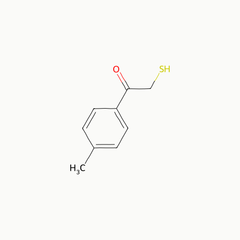 Cc1ccc(C(=O)CS)cc1